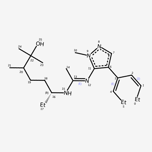 CC/C=C\C(=C/CC)c1cnn(C)c1/N=C(\C)N[C@H](CC)CCC(C)C(C)(C)O